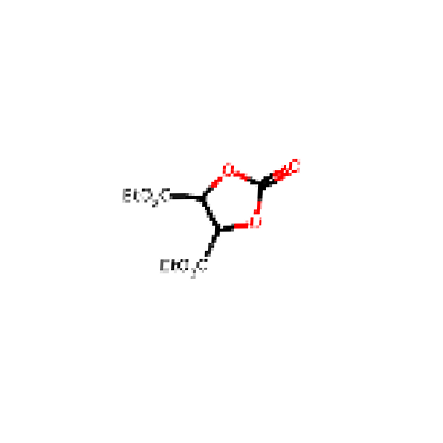 CCOC(=O)C1OC(=O)OC1C(=O)OCC